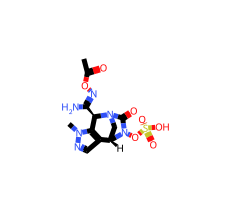 CC(=O)O/N=C(\N)[C@@H]1c2c(cnn2C)[C@@H]2CN1C(=O)N2OS(=O)(=O)O